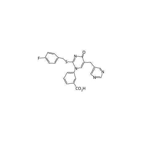 O=C(O)c1cccc(-n2cc(Cc3cncnc3)c(=O)nc2SCc2ccc(F)cc2)c1